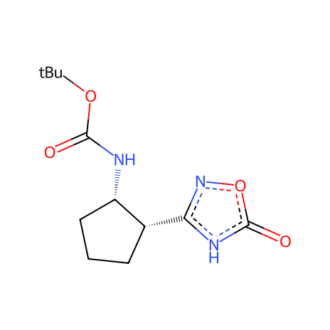 CC(C)(C)OC(=O)N[C@H]1CCC[C@H]1c1noc(=O)[nH]1